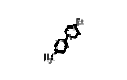 CCN1CCN(c2[c]cc(C)cc2)CC1